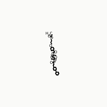 C=CC(=O)OCCCCOc1ccc(C(=O)O[C@H]2CO[C@H]3[C@@H]2OC[C@H]3OC(=O)/C=C/c2ccc(-c3ccccc3)cc2)cc1